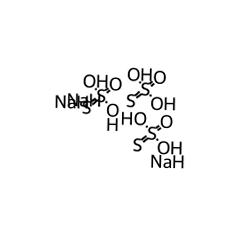 O=S(O)(O)=S.O=S(O)(O)=S.O=S(O)(O)=S.[NaH].[NaH].[NaH]